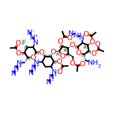 CC(=O)OC[C@H]1O[C@@H](O[C@H]2[C@H](O[C@H]3O[C@H](CN=[N+]=[N-])[C@@H](OC(C)=O)[C@@H](F)C3N=[N+]=[N-])C(N=[N+]=[N-])CC(N=[N+]=[N-])[C@@H]2OC(C)=O)[C@H](OC(C)=O)[C@@H]1O[C@H]1O[C@@H](CN)[C@@H](OC(C)=O)[C@H](OC(C)=O)C1N=[N+]=[N-]